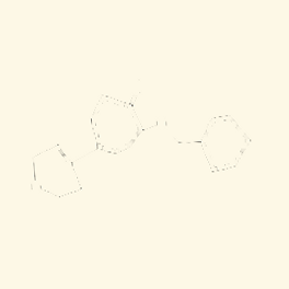 O=c1ccc(C2=CCOCC2)ccc1OCc1ccccc1